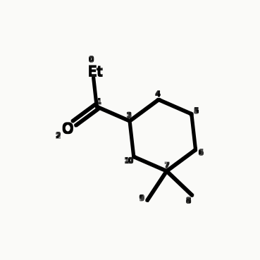 CCC(=O)C1CCCC(C)(C)C1